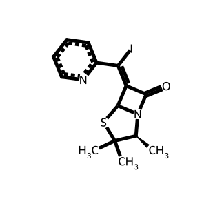 C[C@@H]1N2C(=O)/C(=C(\I)c3ccccn3)C2SC1(C)C